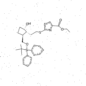 CCOC(=O)c1csc(SCC[C@@H]2[C@@H](CO[Si](c3ccccc3)(c3ccccc3)C(C)(C)C)CC[C@@H]2O)n1